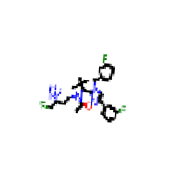 CC(=O)N(CCC(N)CF)C(c1nc(-c2cccc(F)c2)cn1Cc1cccc(F)c1)C(C)(C)C